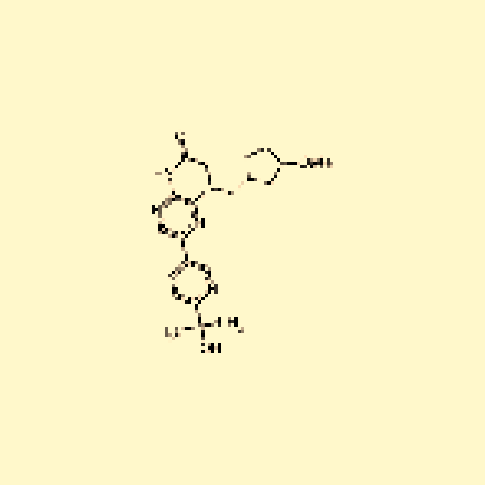 CO[C@@H]1CC[C@@H](CN2CC(=O)Nc3ncc(-c4ccc(C(C)(C)O)nc4)nc32)C1